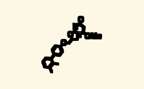 COc1cc(=O)nc2n1CC(COc1ccc(-c3cccc(C)c3C)cc1)O2